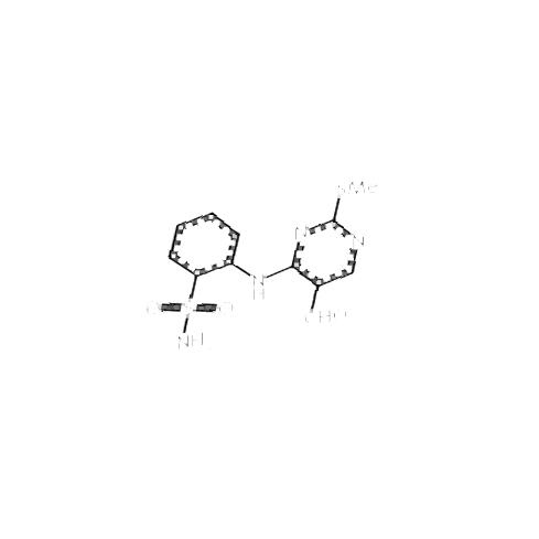 CSc1ncc(C=O)c(Nc2ccccc2S(N)(=O)=O)n1